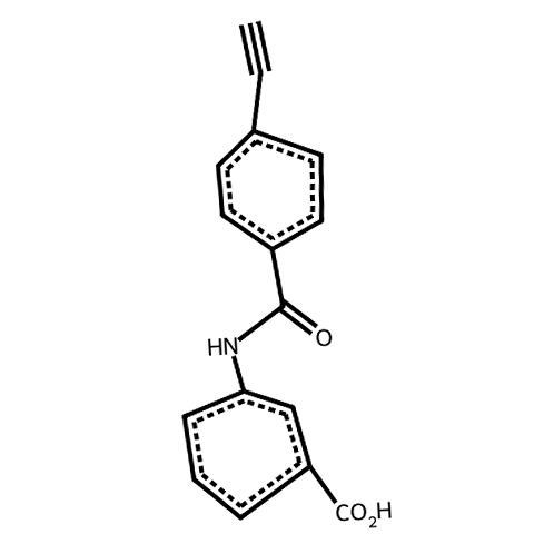 [C]#Cc1ccc(C(=O)Nc2cccc(C(=O)O)c2)cc1